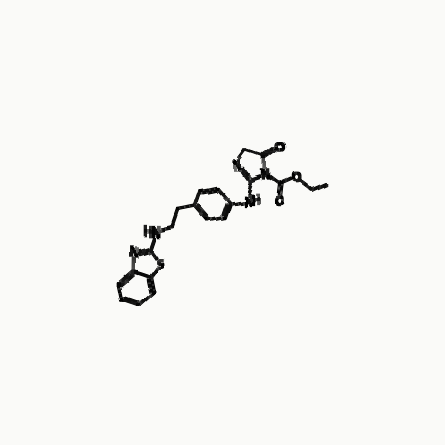 CCOC(=O)N1C(=O)CN=C1Nc1ccc(CCNc2nc3ccccc3s2)cc1